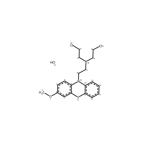 COc1ccc2c(c1)Sc1ccccc1N2CCN(CCCl)CCCl.Cl